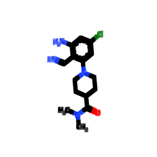 CN(C)C(=O)C1CCN(c2cc(Cl)cc(N)c2C=N)CC1